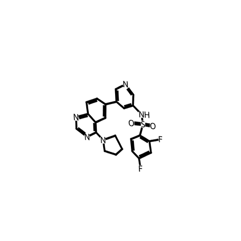 O=S(=O)(Nc1cncc(-c2ccc3ncnc(N4CCCC4)c3c2)c1)c1ccc(F)cc1F